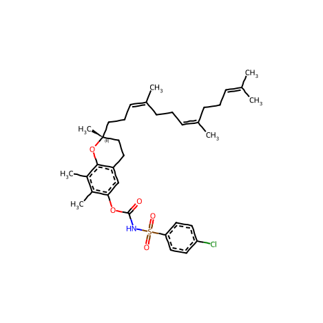 CC(C)=CCCC(C)=CCCC(C)=CCC[C@]1(C)CCc2cc(OC(=O)NS(=O)(=O)c3ccc(Cl)cc3)c(C)c(C)c2O1